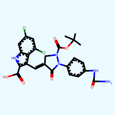 CC(C)(C)OC(=O)N1C/C(=C\c2c(C(=O)O)[nH]c3cc(Cl)cc(Cl)c23)C(=O)N1c1ccc(NC(N)=O)cc1